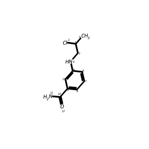 CC(Cl)CNc1cccc(C(N)=O)c1